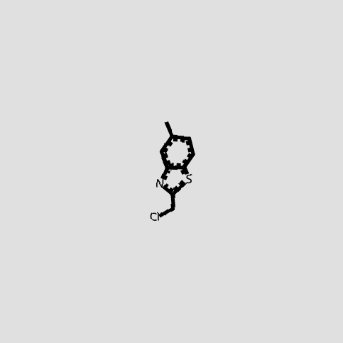 Cc1ccc2sc(CCl)nc2c1